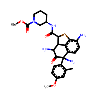 Cc1cc(OC(F)(F)F)ccc1C1(N)C(=O)C(N)C2c3c1ccc(N)c3SC2C(=O)N[C@@H]1CCCN(C(=O)OC(C)(C)C)C1